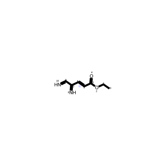 CCOC(=O)/C=C/C(=N)C=N